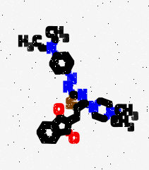 CCN(CC)c1ccc(/N=N/c2nc(N3CC[N+](C)(C)CC3)c(C=C3C(=O)c4ccccc4C3=O)s2)cc1